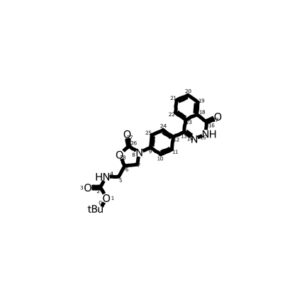 CC(C)(C)OC(=O)NCC1CN(c2ccc(-c3n[nH]c(=O)c4ccccc34)cc2)C(=O)O1